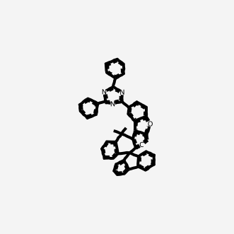 CC1(C)c2ccccc2C2(c3ccccc3-c3ccccc32)c2ccc3oc4ccc(-c5nc(-c6ccccc6)nc(-c6ccccc6)n5)cc4c3c21